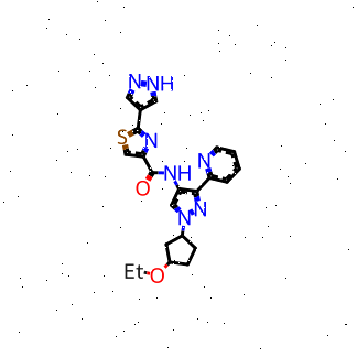 CCOC1CCC(n2cc(NC(=O)c3csc(-c4cn[nH]c4)n3)c(-c3ccccn3)n2)C1